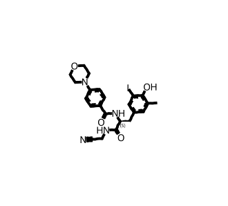 Cc1cc(C[C@H](NC(=O)c2ccc(N3CCOCC3)cc2)C(=O)NCC#N)cc(I)c1O